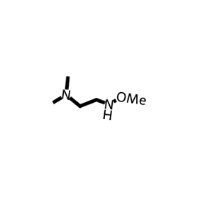 CONCCN(C)C